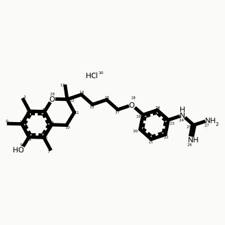 Cc1c(C)c2c(c(C)c1O)CCC(C)(CCCCOc1cccc(NC(=N)N)c1)O2.Cl